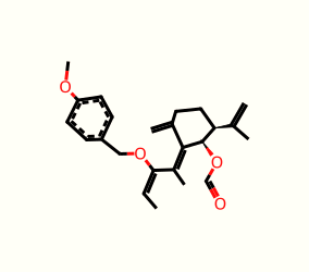 C=C1CC[C@@H](C(=C)C)[C@@H](OC=O)/C1=C(C)/C(=C\C)OCc1ccc(OC)cc1